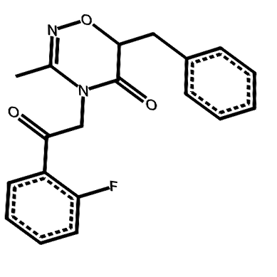 CC1=NOC(Cc2ccccc2)C(=O)N1CC(=O)c1ccccc1F